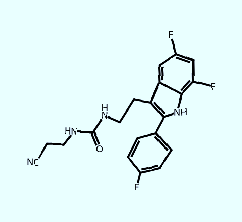 N#CCCNC(=O)NCCc1c(-c2ccc(F)cc2)[nH]c2c(F)cc(F)cc12